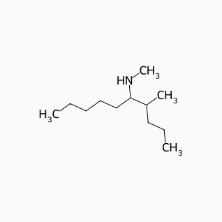 CCCCCC(NC)C(C)CCC